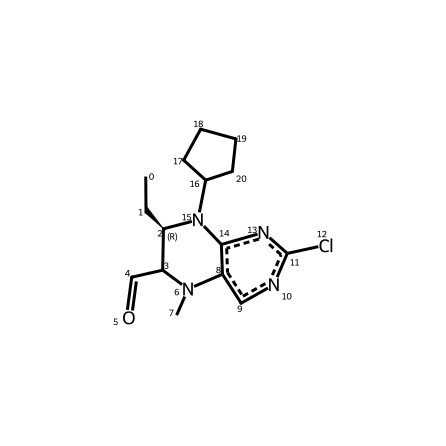 CC[C@@H]1C(C=O)N(C)c2cnc(Cl)nc2N1C1CCCC1